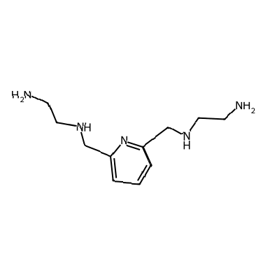 NCCNCc1cccc(CNCCN)n1